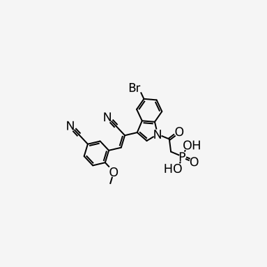 COc1ccc(C#N)cc1/C=C(\C#N)c1cn(C(=O)CP(=O)(O)O)c2ccc(Br)cc12